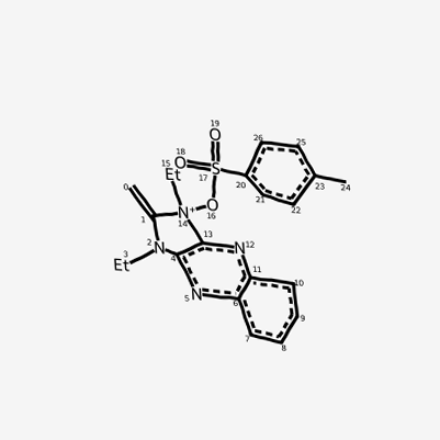 C=C1N(CC)c2nc3ccccc3nc2[N+]1(CC)OS(=O)(=O)c1ccc(C)cc1